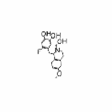 COC1=CCC2=C(CCN(CO)C2Cc2cc(O)c(O)cc2F)C1